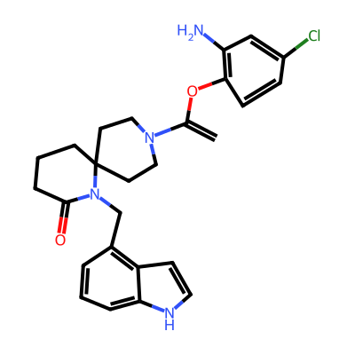 C=C(Oc1ccc(Cl)cc1N)N1CCC2(CCCC(=O)N2Cc2cccc3[nH]ccc23)CC1